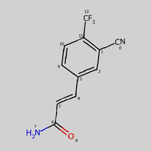 N#Cc1cc(C=CC(N)=O)ccc1C(F)(F)F